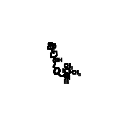 CCc1nn2c(C)cc(C)nc2c1Cc1ccc(CCCC2(O)CCN(C(=O)OC(C)(C)C)CC2)cc1